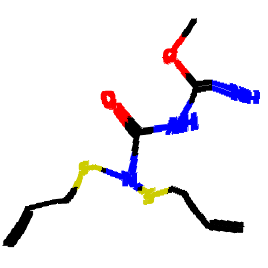 C=CCSN(SCC=C)C(=O)NC(=N)OC